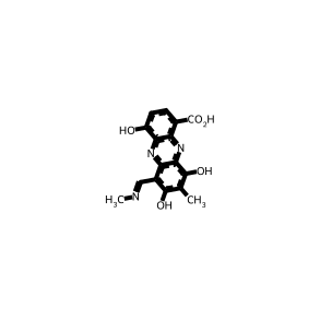 CN=Cc1c(O)c(C)c(O)c2nc3c(C(=O)O)ccc(O)c3nc12